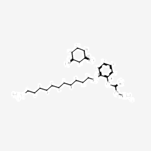 CCCCCCCCCCCCOc1ccccc1OC(=O)OC.O=C1CCCC(=O)C1